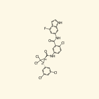 O=C(Nc1cc(F)c2cc[nH]c2c1)c1cc(NC(=O)[C@H]2[C@H](c3cc(Cl)cc(Cl)c3)C2(Cl)Cl)ccc1Cl